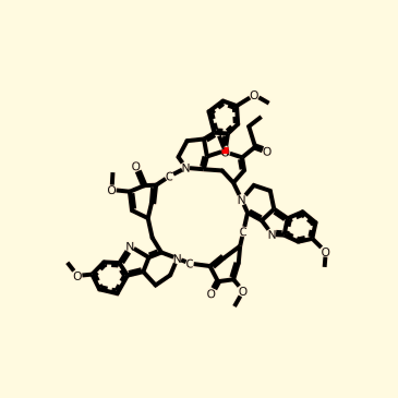 CCC(=O)C(=CC1CC2=C3N=c4cc(OC)ccc4=C3CCN2CC2=CC(C=C(OC)C2=O)CC2=C3N=c4cc(OC)ccc4=C3CCN2CC2=CC(C=C(OC)C2=O)CC2=C3N=c4cc(OC)ccc4=C3CCN21)OC